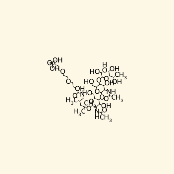 CC(=O)NC1C(OC2C(CO)OC(OC(C)(C)CC(C)CNC(=O)OCCOCCOCCP(=O)(O)O)C(NC(C)=O)C2O)OC(CO)C(OC(OC(CO)[C@H](C)O)C(O)O)C1O